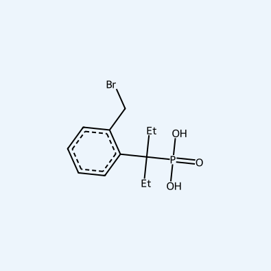 CCC(CC)(c1ccccc1CBr)P(=O)(O)O